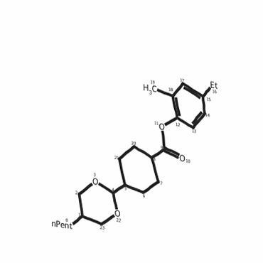 CCCCCC1COC(C2CCC(C(=O)Oc3ccc(CC)cc3C)CC2)OC1